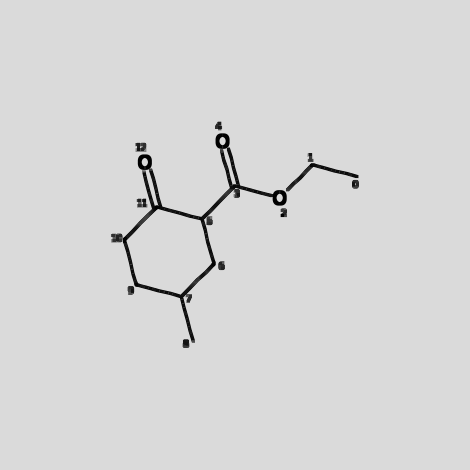 CCOC(=O)C1CC(C)CCC1=O